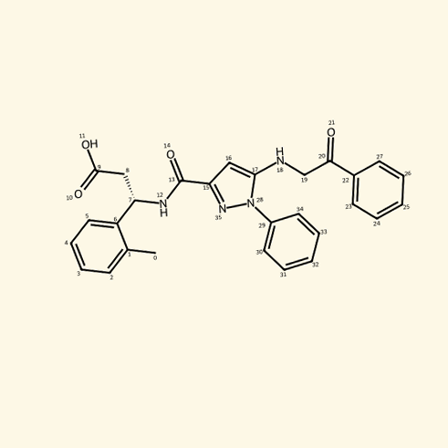 Cc1ccccc1[C@H](CC(=O)O)NC(=O)c1cc(NCC(=O)c2ccccc2)n(-c2ccccc2)n1